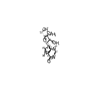 Cn1cnc(=O)c2c1n([C@@H]1O[C@H](CO)[C@@H](O)[C@H]1O)c[n+]2C